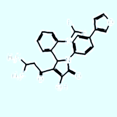 CC(C)CC(=O)C1=C(O)C(=O)N(c2ccc(-c3ccoc3)cc2)C1c1ccccc1OC(F)F